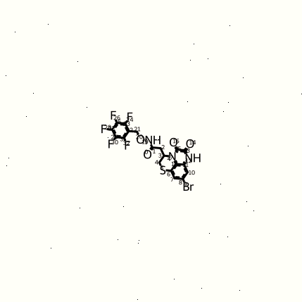 O=C(CC1CSc2cc(Br)cc3[nH]c(=O)c(=O)n1c23)NOCc1c(F)c(F)c(F)c(F)c1F